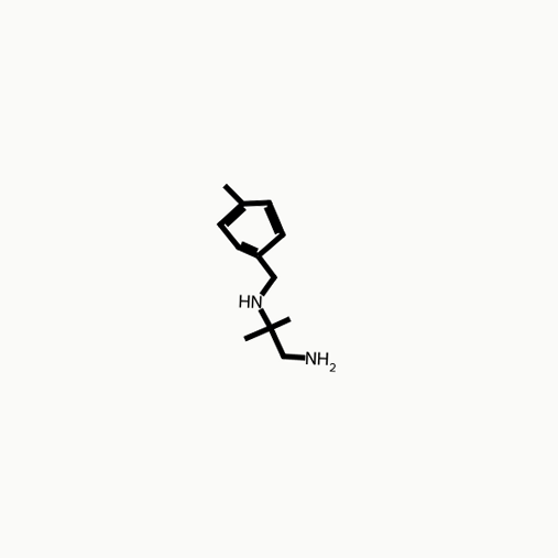 Cc1ccc(CNC(C)(C)CN)cc1